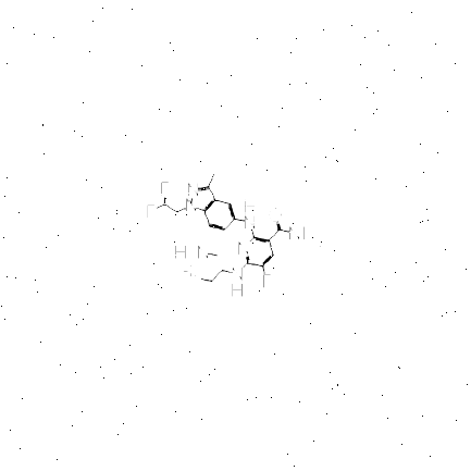 Cc1nn(CC(F)F)c2ccc(Nc3nc(N[C@@H](CN)CC(C)C)c(F)cc3C(N)=O)cc12